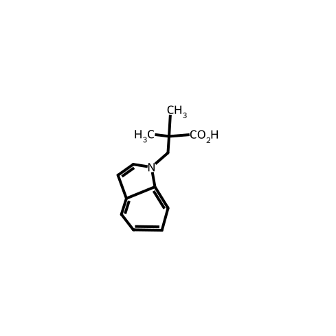 CC(C)(Cn1ccc2ccccc21)C(=O)O